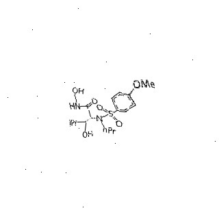 CCCN([C@@H](C(=O)NO)C(O)C(C)C)S(=O)(=O)c1ccc(OC)cc1